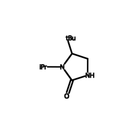 CC(C)N1C(=O)NCC1C(C)(C)C